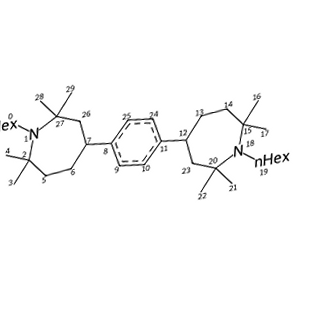 CCCCCCN1C(C)(C)CCC(c2ccc(C3CCC(C)(C)N(CCCCCC)C(C)(C)C3)cc2)CC1(C)C